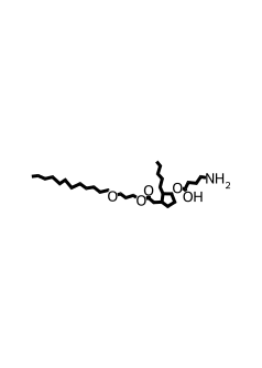 CCCCCCCCCCCCOCCCOC(=O)CC1CC[C@@H](OC(O)CCCN)C1CCCCC